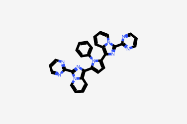 c1ccc(-n2c(-c3nc(-c4ncccn4)n4ccccc34)ccc2-c2nc(-c3ncccn3)n3ccccc23)cc1